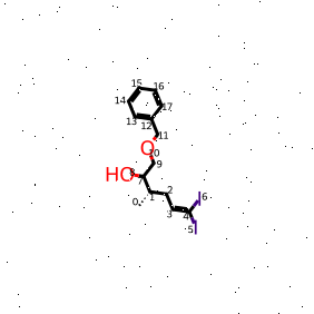 C[C@@H](CC=C(I)I)C(O)COCc1ccccc1